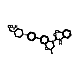 CC1CN(C(=O)Nc2ccccc2Cl)c2ccc(-c3ccc([C@H]4CC[C@H](CC(=O)O)CC4)cc3)cc2O1